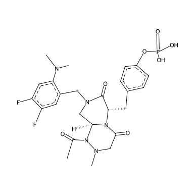 CC(=O)N1[C@H]2CN(Cc3cc(F)c(F)cc3N(C)C)C(=O)[C@H](Cc3ccc(OP(=O)(O)O)cc3)N2C(=O)CN1C